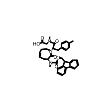 Cc1ccc(CC(C(=O)N(C)CC(=O)O)N2CC/C=C\C[C@H](N(C)C(=O)OCC3c4ccccc4-c4ccccc43)C2=O)cc1